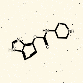 O=C(NC1CCNCC1)Oc1cccc2[nH]cnc12